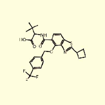 CC(C)(C)C(NC(=O)c1ccc2sc(C3CCC3)nc2c1OCc1ccc(C(F)(F)F)cc1)C(=O)O